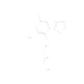 COc1cc(C)ccc1O.[SiH3]O[SiH2]O[SiH3].c1c[nH]nn1